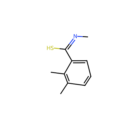 C/N=C(/S)c1cccc(C)c1C